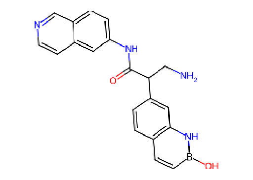 NCC(C(=O)Nc1ccc2cnccc2c1)c1ccc2c(c1)NB(O)C=C2